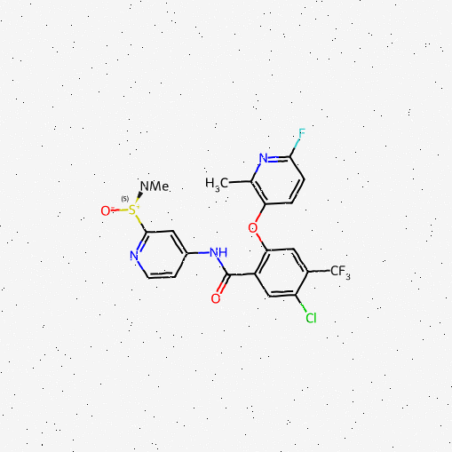 CN[S@+]([O-])c1cc(NC(=O)c2cc(Cl)c(C(F)(F)F)cc2Oc2ccc(F)nc2C)ccn1